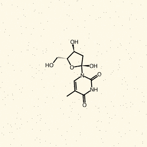 Cc1cn([C@@]2(O)C[C@H](O)[C@@H](CO)O2)c(=O)[nH]c1=O